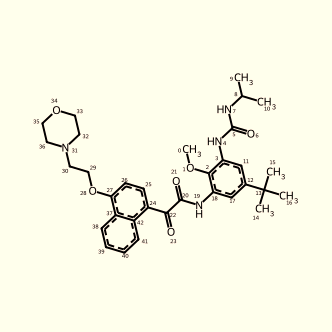 COc1c(NC(=O)NC(C)C)cc(C(C)(C)C)cc1NC(=O)C(=O)c1ccc(OCCN2CCOCC2)c2ccccc12